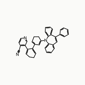 N#Cc1ccncc1C1=CCCC=C1C1=CCCC(N2c3ccccc3C=C(c3ccccc3)c3ccccc32)=C1